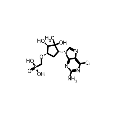 CC1(O)[C@H](O)[C@@H](OCP(=O)(O)O)C[C@H]1n1cnc2c(Cl)nc(N)nc21